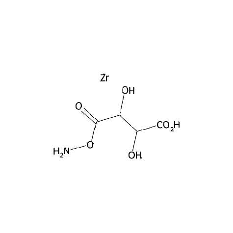 NOC(=O)C(O)C(O)C(=O)O.[Zr]